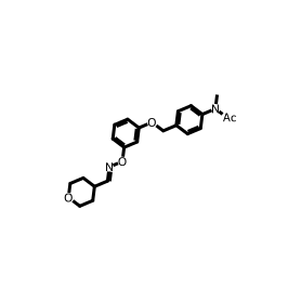 CC(=O)N(C)c1ccc(COc2cccc(ON=CC3CCOCC3)c2)cc1